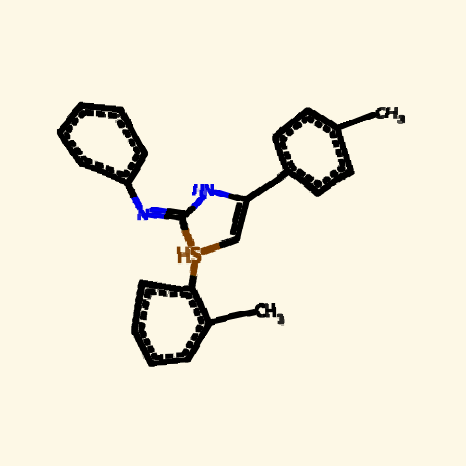 Cc1ccc(C2=C[SH](c3ccccc3C)C(=Nc3ccccc3)N2)cc1